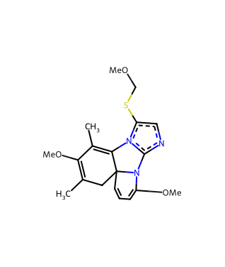 COCSc1cnc2n1C1=C(C)C(OC)=C(C)CC13C=CC=C(OC)N23